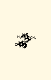 CCC(CNc1ccnc2cc(Cl)ccc12)C(CC)CN(C)C